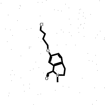 CN1CCc2ccc(OCCCCCl)cc2C1C=O